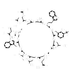 CC(=O)N[C@@H](CC(=O)O)C(=O)N[C@H]1CSSC[C@@H](C(=O)N[C@H](C(=O)O)[C@@H](C)O)NC(=O)[C@H](Cc2c[nH]c3ccccc23)NC(=O)[C@H](C(C)C)NC(=O)[C@H](CC(C)C)NC(=O)[C@H](CCC(=O)O)NC(=O)CNC(=O)[C@H](CC(C)C)NC(=O)[C@H](Cc2cccc(C(C)(C)C)c2)NC(=O)[C@H](CCc2c[nH]c3ccccc23)NC(=O)[C@H](C)NC1=O